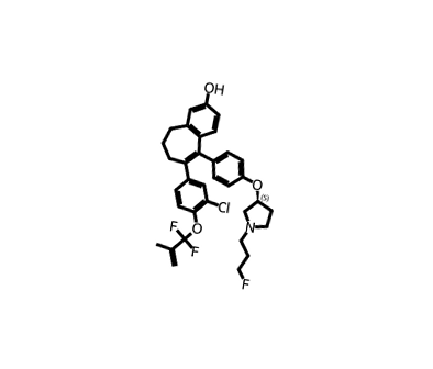 C=C(C)C(F)(F)Oc1ccc(C2=C(c3ccc(O[C@H]4CCN(CCCF)C4)cc3)c3ccc(O)cc3CCC2)cc1Cl